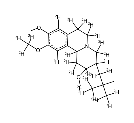 [2H]OC1([2H])C([2H])([2H])C2([2H])c3c([2H])c(OC([2H])([2H])[2H])c(OC)c([2H])c3C([2H])([2H])C([2H])([2H])N2C([2H])([2H])C1([2H])C([2H])([2H])C(C)(C([2H])([2H])[2H])C([2H])([2H])[2H]